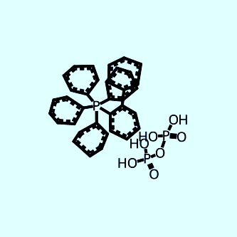 O=P(O)(O)OP(=O)(O)O.c1ccc(-c2ccccc2P(c2ccccc2)(c2ccccc2)(c2ccccc2)c2ccccc2)cc1